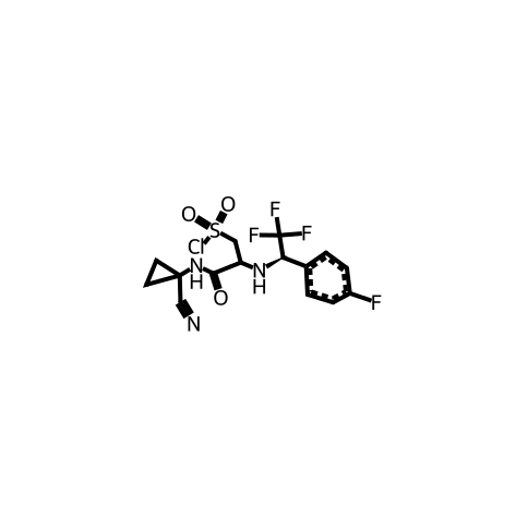 N#CC1(NC(=O)C(CS(=O)(=O)Cl)N[C@H](c2ccc(F)cc2)C(F)(F)F)CC1